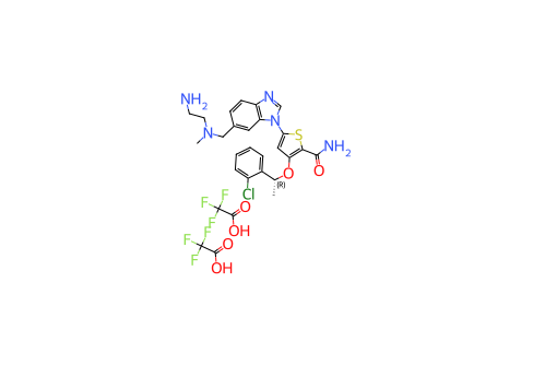 C[C@@H](Oc1cc(-n2cnc3ccc(CN(C)CCN)cc32)sc1C(N)=O)c1ccccc1Cl.O=C(O)C(F)(F)F.O=C(O)C(F)(F)F